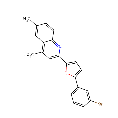 Cc1ccc2nc(-c3ccc(-c4cccc(Br)c4)o3)cc(C(=O)O)c2c1